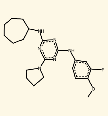 COc1ccc(Nc2nc(NC3CCCCCC3)nc(N3CCCC3)n2)cc1F